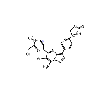 CC[C@H](C)N(/C=C\Cc1nc2c(-c3ccc([C@H]4COC(=O)N4)nc3)cnn2c(N)c1C(C)=O)C(=O)CO